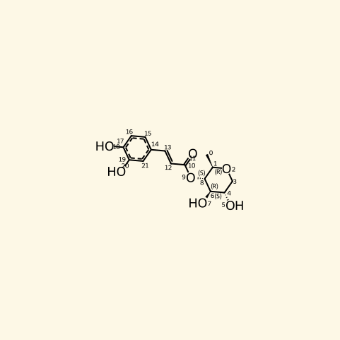 C[C@H]1OC[C@H](O)[C@@H](O)[C@@H]1OC(=O)C=Cc1ccc(O)c(O)c1